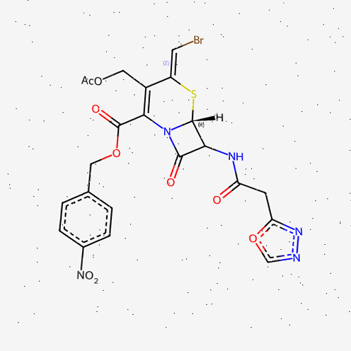 CC(=O)OCC1=C(C(=O)OCc2ccc([N+](=O)[O-])cc2)N2C(=O)C(NC(=O)Cc3nnco3)[C@H]2S/C1=C\Br